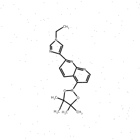 CCn1cnc(-c2ccc3c(B4OC(C)(C)C(C)(C)O4)ccnc3n2)c1